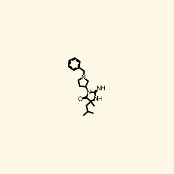 CC(C)CC1(C)NC(=N)N(C2CCN(Cc3ccccc3)C2)C1=O